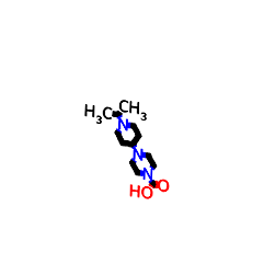 CC(C)N1CCC(N2CCN(C(=O)O)CC2)CC1